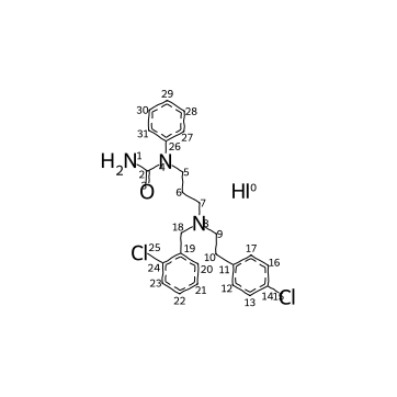 I.NC(=O)N(CCCN(CCc1ccc(Cl)cc1)Cc1ccccc1Cl)c1ccccc1